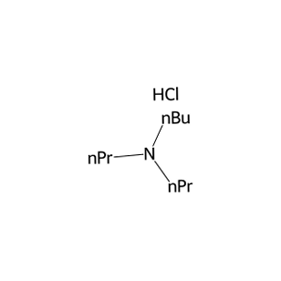 CCCCN(CCC)CCC.Cl